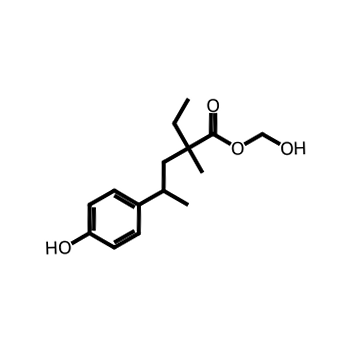 CCC(C)(CC(C)c1ccc(O)cc1)C(=O)OCO